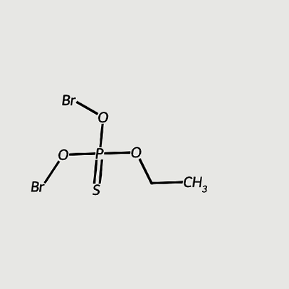 CCOP(=S)(OBr)OBr